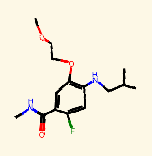 CNC(=O)c1cc(OCCOC)c(NCC(C)C)cc1F